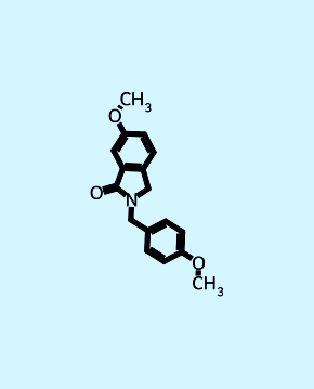 COc1ccc(CN2Cc3ccc(OC)cc3C2=O)cc1